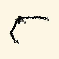 CCCCCC/C=C\CCCCCCCCS(=O)(=O)C(C)CS(=O)(=O)CCCCCCCCCCCCCCCC